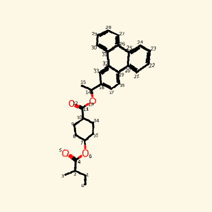 CCC(C)C(=O)OC1CCC(C(=O)OC(C)c2ccc3c4ccccc4c4ccccc4c3c2)CC1